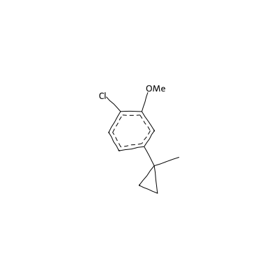 COc1cc(C2(C)CC2)ccc1Cl